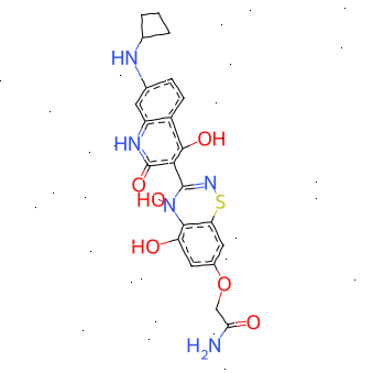 NC(=O)COc1cc(O)c2c(c1)SN=C(c1c(O)c3ccc(NC4CCC4)cc3[nH]c1=O)N2O